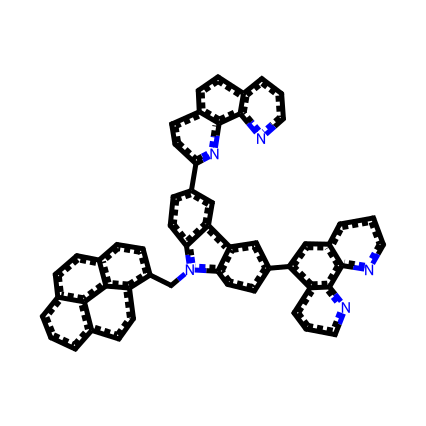 c1cnc2c(c1)ccc1ccc(-c3ccc4c(c3)c3cc(-c5cc6cccnc6c6ncccc56)ccc3n4Cc3ccc4ccc5cccc6ccc3c4c56)nc12